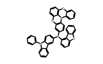 c1ccc(-n2c3ccccc3c3cc(N(c4ccc5c(c4)Oc4cccc6c4N5c4ccccc4O6)c4cccc5oc6ccccc6c45)ccc32)cc1